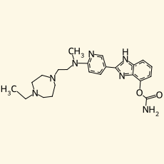 CCN1CCCN(CCN(C)c2ccc(-c3nc4c(OC(N)=O)cccc4[nH]3)cn2)CC1